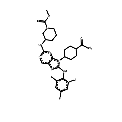 COC(=O)N1CCCC(Nc2ncc3nc(Nc4c(Cl)cc(F)cc4Cl)n(C4CCC(C(N)=O)CC4)c3n2)C1